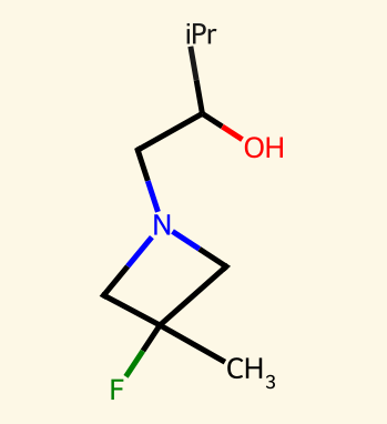 CC(C)C(O)CN1CC(C)(F)C1